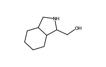 OCC1NCC2CCCCC21